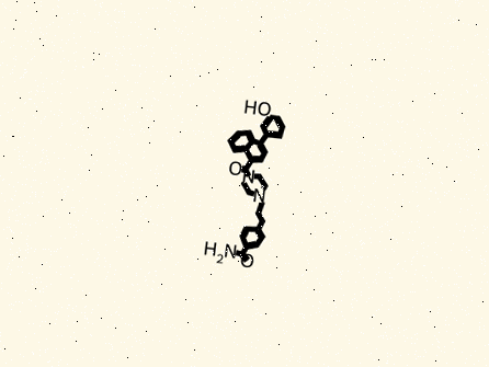 NC(=O)c1ccc(CCCN2CCN(C(=O)c3ccc(-c4cccc(O)c4)c4ccccc34)CC2)cc1